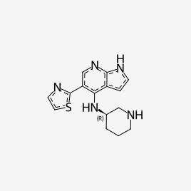 c1csc(-c2cnc3[nH]ccc3c2N[C@@H]2CCCNC2)n1